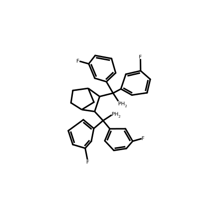 Fc1cccc(C(P)(c2cccc(F)c2)C2C3CCC(C3)C2C(P)(c2cccc(F)c2)c2cccc(F)c2)c1